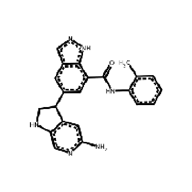 Cc1ccccc1NC(=O)c1cc(C2CNc3cnc(N)cc32)cc2cn[nH]c12